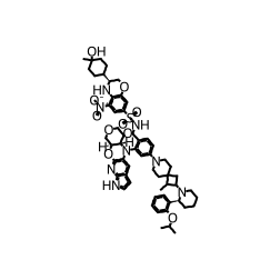 CC(C)Oc1ccccc1[C@@H]1CCCCN1C1CC2(CCN(c3ccc(C(=O)NS(=O)(=O)c4cc5c(c([N+](=O)[O-])c4)N[C@@H](C4CCC(C)(O)CC4)CO5)c(N4c5cc6cc[nH]c6nc5O[C@H]5COCC[C@@H]54)c3)CC2)C1C